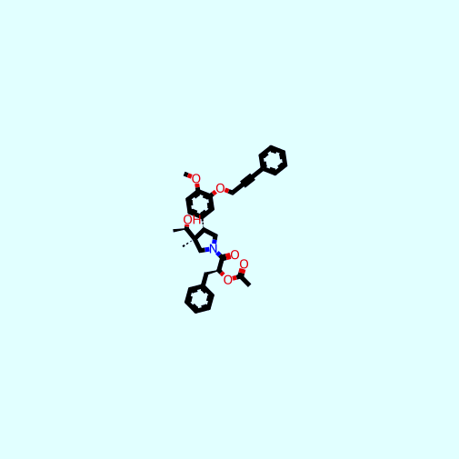 COc1ccc([C@@H]2CN(C(=O)[C@H](Cc3ccccc3)OC(C)=O)C[C@@]2(C)[C@@H](C)O)cc1OCC#Cc1ccccc1